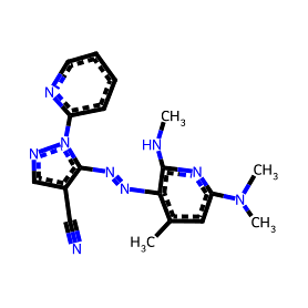 CNc1nc(N(C)C)cc(C)c1/N=N/c1c(C#N)cnn1-c1ccccn1